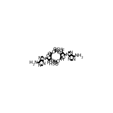 C[C@H]1O[P@@](=O)(S)O[C@H]2[C@@H](F)[C@H](n3cnc4c(N)ncnc43)O[C@@H]2CO[P@@](=O)(S)O[C@H]2[C@@H](F)[C@H](n3cnc4c(N)ncnc43)O[C@@H]21